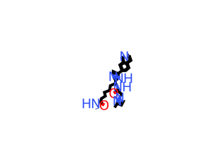 CNC(=O)CCCCCC(NC(=O)Cn1ccc(C)n1)c1ncc(-c2ccc3ccncc3c2)[nH]1